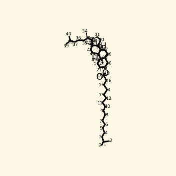 CC(C)CCCCCCCCCCCCCCC(=O)OC1CC[C@@]2(C)C(=CC[C@H]3[C@@H]4CC[C@H]([C@H](C)CCCC(C)C)[C@@]4(C)CC[C@@H]32)C1